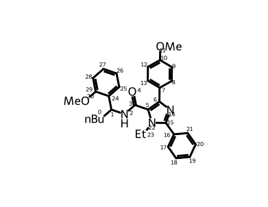 CCCCC(NC(=O)c1c(-c2ccc(OC)cc2)nc(-c2ccccc2)n1CC)c1ccccc1OC